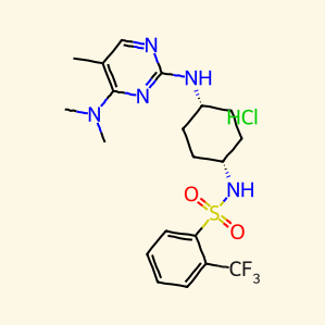 Cc1cnc(N[C@H]2CC[C@@H](NS(=O)(=O)c3ccccc3C(F)(F)F)CC2)nc1N(C)C.Cl